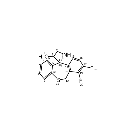 CC1CN[C@]12c1ccccc1SCc1c2ccc(F)c1F